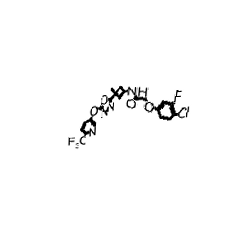 CC1(c2nnc(Oc3ccc(C(F)(F)F)nc3)o2)C=C(NC(=O)COc2ccc(Cl)c(F)c2)C1